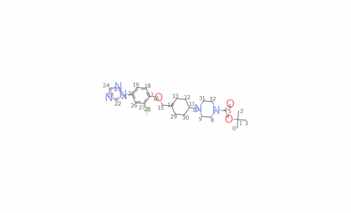 CC(C)(C)OC(=O)N1CCN(C2CCC(COc3ccc(-n4cncn4)cc3F)CC2)CC1